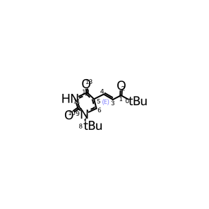 CC(C)(C)C(=O)/C=C/c1cn(C(C)(C)C)c(=O)[nH]c1=O